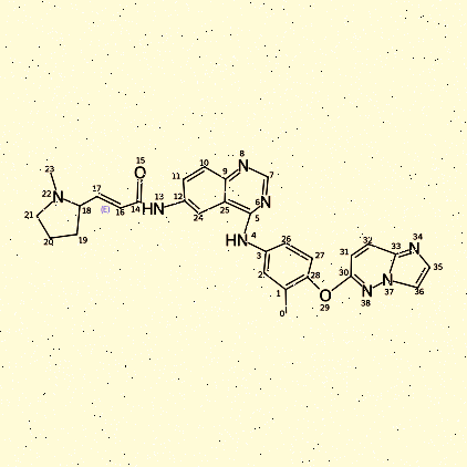 Cc1cc(Nc2ncnc3ccc(NC(=O)/C=C/C4CCCN4C)cc23)ccc1Oc1ccc2nccn2n1